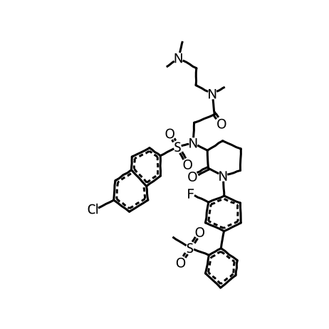 CN(C)CCN(C)C(=O)CN(C1CCCN(c2ccc(-c3ccccc3S(C)(=O)=O)cc2F)C1=O)S(=O)(=O)c1ccc2cc(Cl)ccc2c1